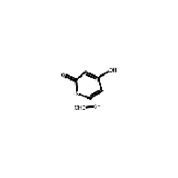 O=CO.O=c1cc(O)cc[nH]1